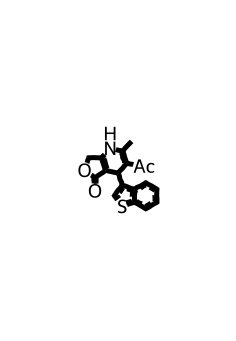 CC(=O)C1=C(C)NC2=C(C(=O)OC2)C1c1csc2ccccc12